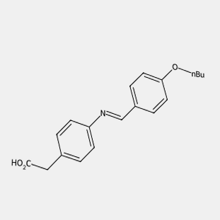 CCCCOc1ccc(/C=N/c2ccc(CC(=O)O)cc2)cc1